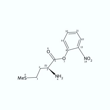 CSCC[C@H](N)C(=O)Oc1ccccc1[N+](=O)[O-]